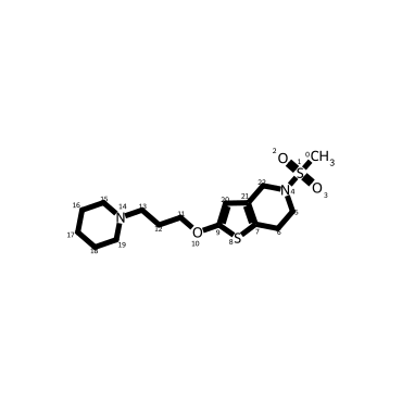 CS(=O)(=O)N1CCc2sc(OCCCN3CCCCC3)cc2C1